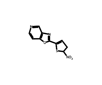 O=[N+]([O-])C1CC=C(c2nc3cnccc3o2)S1